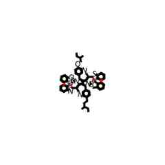 CCC(C)CCc1ccc(-c2c3/c(=C(\C#N)c4nc5ccccc5s4)n(B4Oc5ccccc5O4)c(-c4ccc(OCC(C)CC)cc4)c3/c(=C(\C#N)c3nc4ccccc4s3)n2B2Cc3ccccc3C2)cc1